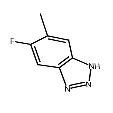 Cc1cc2[nH]nnc2cc1F